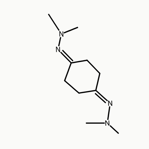 CN(C)N=C1CCC(=NN(C)C)CC1